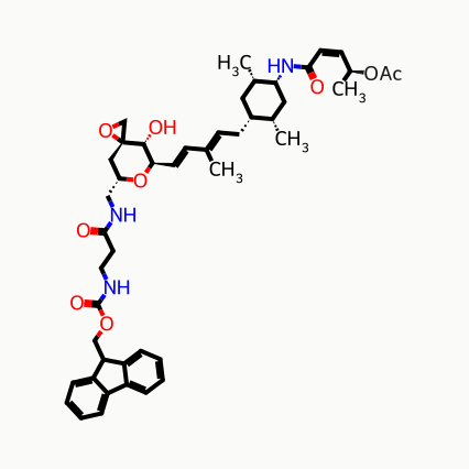 CC(=O)O[C@@H](C)/C=C\C(=O)N[C@@H]1C[C@H](C)[C@H](C/C=C(C)/C=C/[C@H]2O[C@H](CNC(=O)CCNC(=O)OCC3c4ccccc4-c4ccccc43)C[C@@]3(CO3)[C@@H]2O)C[C@@H]1C